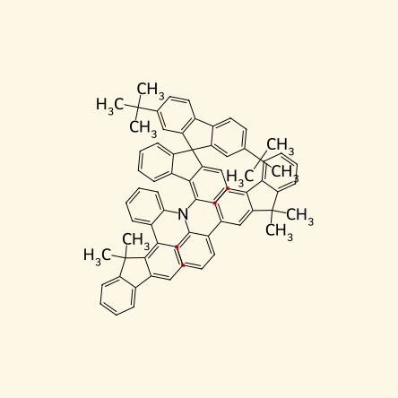 CC(C)(C)c1ccc2c(c1)C1(c3cc(C(C)(C)C)ccc3-2)c2ccccc2-c2c(N(c3ccccc3-c3ccc4c(c3)C(C)(C)c3ccccc3-4)c3ccccc3-c3cccc4c3C(C)(C)c3ccccc3-4)cccc21